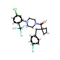 O=C(N1CCN(c2cc(Cl)ccc2C(F)(F)F)CC1)C1(Cc2ccc(F)cc2)CCC1